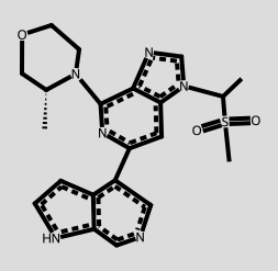 CC(n1cnc2c(N3CCOC[C@H]3C)nc(-c3cncc4[nH]ccc34)cc21)S(C)(=O)=O